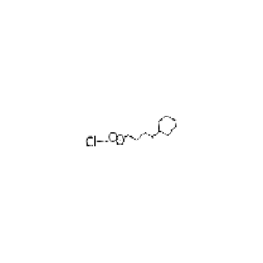 ClCOOCCCCC1CCCCC1